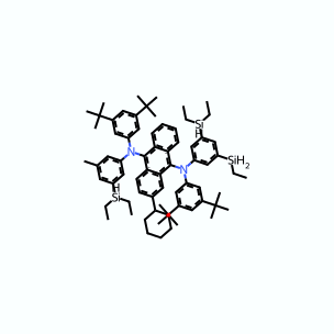 CC[SiH2]c1cc(N(c2cc(C(C)(C)C)cc(C(C)(C)C)c2)c2c3ccccc3c(N(c3cc(C)cc([SiH](CC)CC)c3)c3cc(C(C)(C)C)cc(C(C)(C)C)c3)c3ccc(C4CCCCC4)cc23)cc([SiH](CC)CC)c1